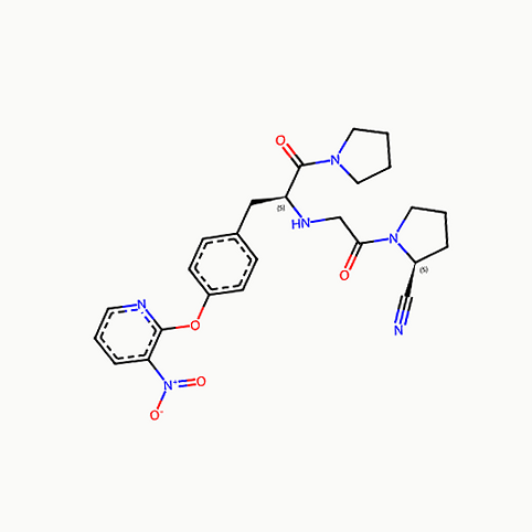 N#C[C@@H]1CCCN1C(=O)CN[C@@H](Cc1ccc(Oc2ncccc2[N+](=O)[O-])cc1)C(=O)N1CCCC1